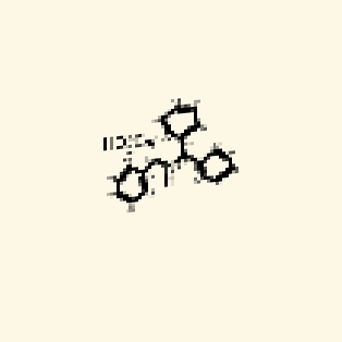 O=C(O)C[C@H](NC(c1ccccc1)c1ccccc1)c1ccccc1